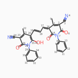 CC1=C(C#N)C(=O)N(c2ccccc2)C(=O)C1=CC=Cc1c(C)c(C#N)c(=O)n(-c2ccccc2)c1O